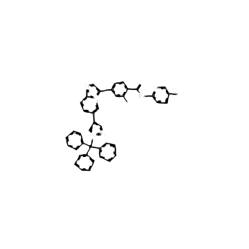 O=C(Nc1ccc(Cl)cn1)c1ccc(-c2cnc3ccc(-c4cnn(C(c5ccccc5)(c5ccccc5)c5ccccc5)c4)cn23)cc1F